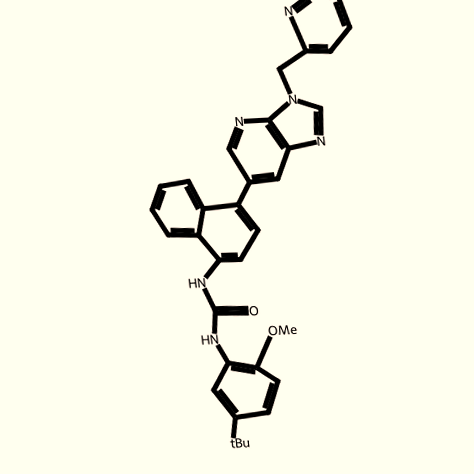 COc1ccc(C(C)(C)C)cc1NC(=O)Nc1ccc(-c2cnc3c(c2)ncn3Cc2ccccn2)c2ccccc12